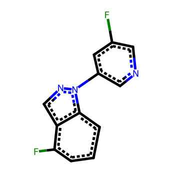 Fc1cncc(-n2ncc3c(F)cccc32)c1